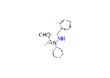 Cc1ccccc1CNN(C1CCCCC1)[C@@H](C)[C]=O